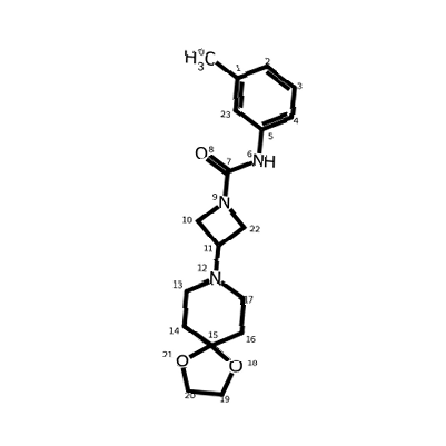 Cc1cccc(NC(=O)N2CC(N3CCC4(CC3)OCCO4)C2)c1